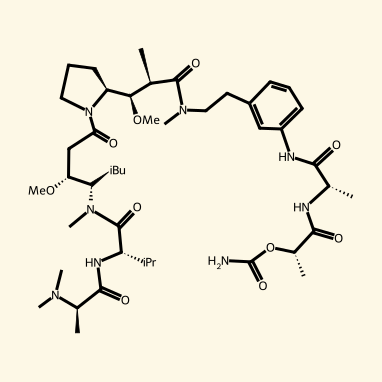 CC[C@H](C)[C@@H]([C@@H](CC(=O)N1CCC[C@H]1[C@H](OC)[C@@H](C)C(=O)N(C)CCc1cccc(NC(=O)[C@H](C)NC(=O)[C@H](C)OC(N)=O)c1)OC)N(C)C(=O)[C@@H](NC(=O)[C@@H](C)N(C)C)C(C)C